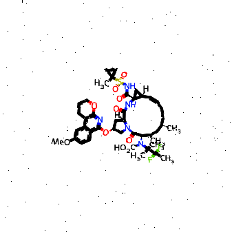 COc1ccc2c(O[C@@H]3C[C@H]4C(=O)N[C@]5(C(=O)NS(=O)(=O)C6(C)CC6)C[C@H]5C=CCC[C@H](C)C[C@@H](C)[C@H](N(C(=O)O)C(C)(C)C(C)(F)F)C(=O)N4C3)nc3c(c2c1)CCCO3